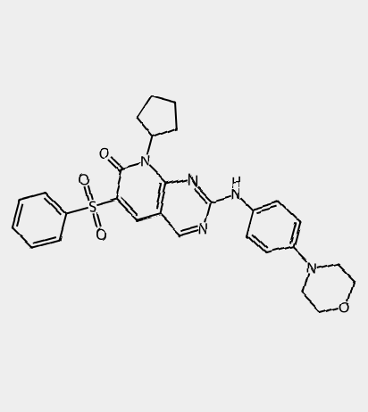 O=c1c(S(=O)(=O)c2ccccc2)cc2cnc(Nc3ccc(N4CCOCC4)cc3)nc2n1C1CCCC1